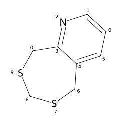 c1cnc2c(c1)CSCSC2